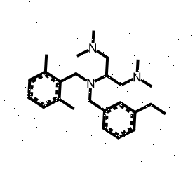 CCc1cccc(CN(Cc2c(C)cccc2C)C(CN(C)C)CN(C)C)c1